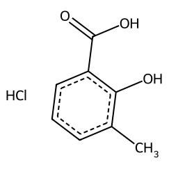 Cc1cccc(C(=O)O)c1O.Cl